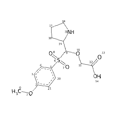 COc1ccc(S(=O)(=O)C(OCC(=O)O)C2CCCN2)cc1